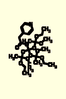 CCOC(C)(OC)OC(OC(=O)Cc1ccncc1)(OC(C)(OC)OCC)OC(C)(OC)OCC